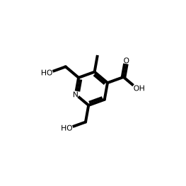 Cc1c(C(=O)O)cc(CO)nc1CO